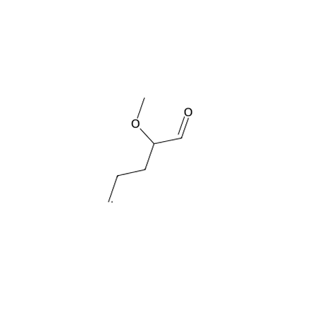 [CH2]CCC(C=O)OC